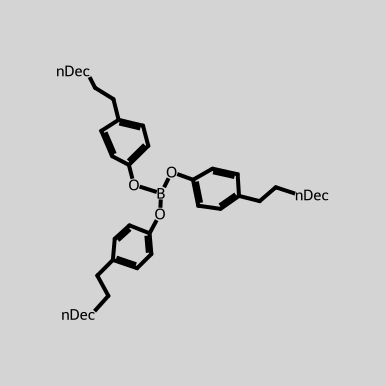 CCCCCCCCCCCCc1ccc(OB(Oc2ccc(CCCCCCCCCCCC)cc2)Oc2ccc(CCCCCCCCCCCC)cc2)cc1